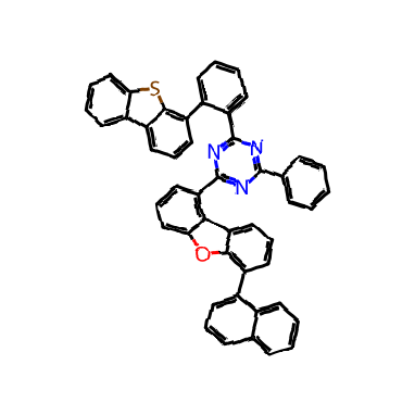 c1ccc(-c2nc(-c3ccccc3-c3cccc4c3sc3ccccc34)nc(-c3cccc4oc5c(-c6cccc7ccccc67)cccc5c34)n2)cc1